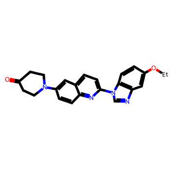 CCOc1ccc2c(c1)ncn2-c1ccc2cc(N3CCC(=O)CC3)ccc2n1